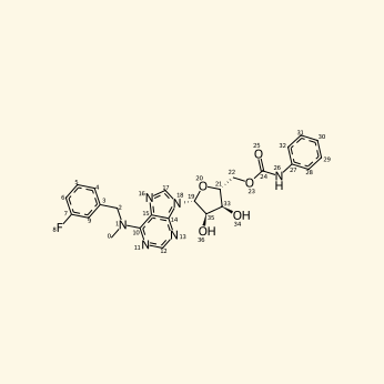 CN(Cc1cccc(F)c1)c1ncnc2c1ncn2[C@@H]1O[C@H](COC(=O)Nc2ccccc2)[C@@H](O)[C@H]1O